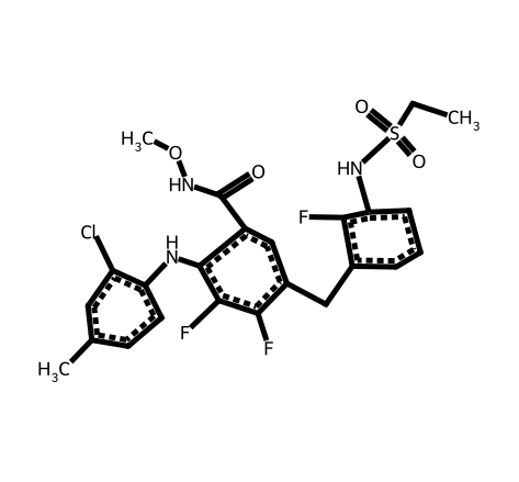 CCS(=O)(=O)Nc1cccc(Cc2cc(C(=O)NOC)c(Nc3ccc(C)cc3Cl)c(F)c2F)c1F